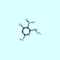 CNc1nc(C)cc(Cl)c1[N+](=O)[O-]